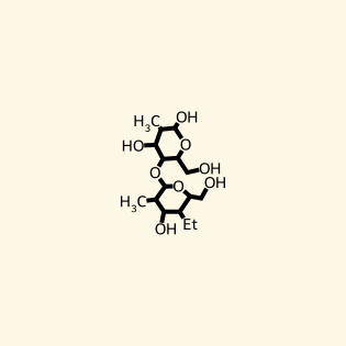 CCC1C(CO)OC(OC2C(CO)OC(O)C(C)C2O)C(C)C1O